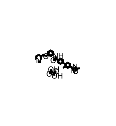 Cc1nc(-c2ccc(-c3ccc(C(=O)Nc4cccc(OCC5CCCN(C)C5)c4)cc3)c(C)c2)no1.O=C(O)C(=O)O